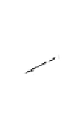 CCCCCCCCC=CCCCCCCCC(=O)OCCCC